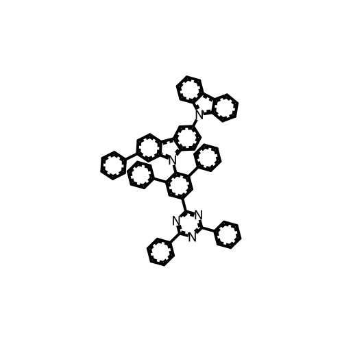 c1ccc(-c2ccc3c4cc(-n5c6ccccc6c6ccccc65)ccc4n(-c4c(-c5ccccc5)cc(-c5nc(-c6ccccc6)nc(-c6ccccc6)n5)cc4-c4ccccc4)c3c2)cc1